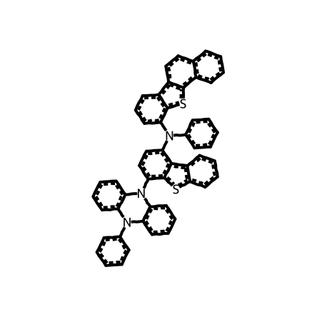 c1ccc(N2c3ccccc3N(c3ccc(N(c4ccccc4)c4cccc5c4sc4c6ccccc6ccc54)c4c3sc3ccccc34)c3ccccc32)cc1